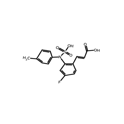 Cc1ccc(N(c2cc(F)ccc2C=CC(=O)O)S(=O)(=O)O)cc1